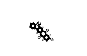 C[Si]1(C)c2ccccc2-c2cc3c(cc21)C(=O)c1cc(Br)ccc1C3=O